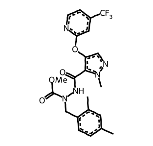 COC(=O)N(Cc1ccc(C)cc1C)NC(=O)c1c(Oc2cc(C(F)(F)F)ccn2)cnn1C